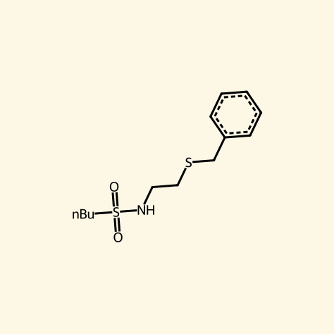 CCCCS(=O)(=O)NCCSCc1ccccc1